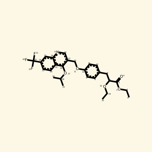 CCOC(=O)C(Cc1ccc(OCc2cnc3cc(C(F)(F)F)ccc3c2OC(C)C)cc1)OCC